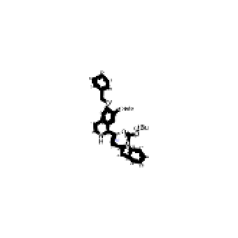 COc1cc2c(cc1OCc1ccccc1)CCNC2/C=C/c1cc2ccccc2n1C(=O)OC(C)(C)C